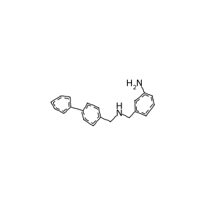 Nc1cccc(CNCc2ccc(-c3ccccc3)cc2)c1